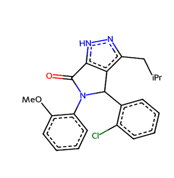 COc1ccccc1N1C(=O)c2[nH]nc(CC(C)C)c2C1c1ccccc1Cl